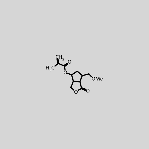 C=C(C)C(=O)OC1CC(COC)C2C(=O)OCC12